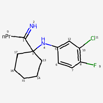 CCCC(=N)C1(Nc2ccc(F)c(Cl)c2)C[CH]CCC1